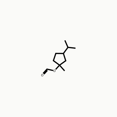 CC(C)C1CCC(C)(OC=O)C1